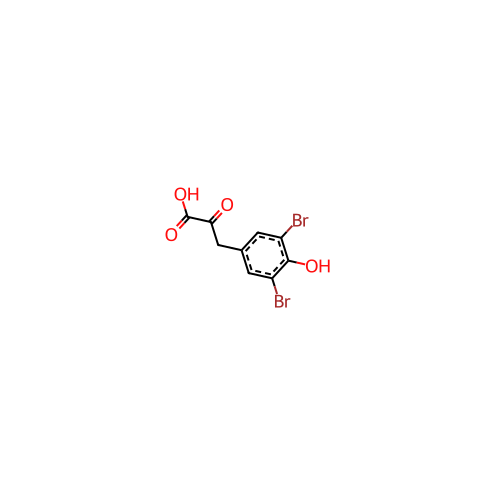 O=C(O)C(=O)Cc1cc(Br)c(O)c(Br)c1